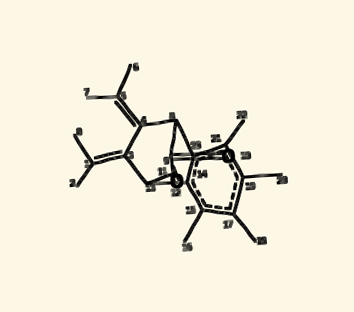 CC(C)=C1C(=C(C)C)C2C(=O)C(=O)C1c1c(C)c(C)c(C)c(C)c12